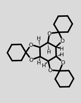 C1CCC2(CC1)O[C@H]1[C@H]3OC4(CCCCC4)O[C@@H]3[C@H]3OC4(CCCCC4)O[C@H]3[C@H]1O2